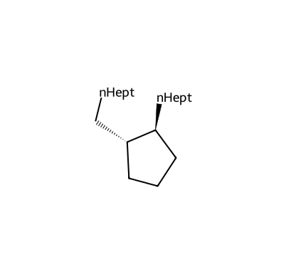 CCCCCCCC[C@H]1CCC[C@@H]1CCCCCCC